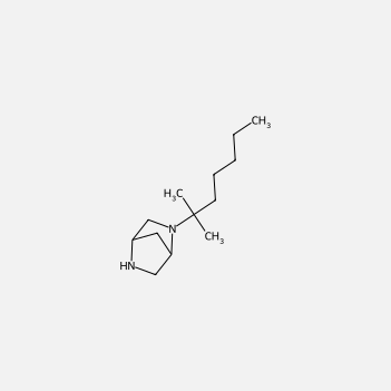 CCCCCC(C)(C)N1CC2CC1CN2